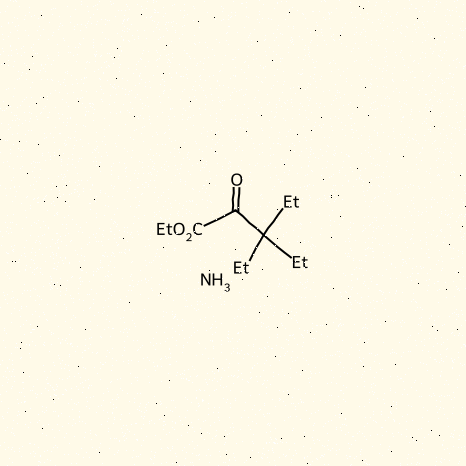 CCOC(=O)C(=O)C(CC)(CC)CC.N